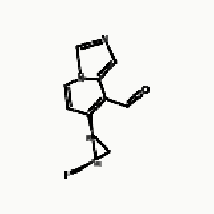 O=Cc1c([C@H]2C[C@H]2F)ccn2cncc12